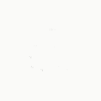 CC(C)(O)c1nn[nH]c(=O)c1C1(c2ccccc2)C=CC=CC1O